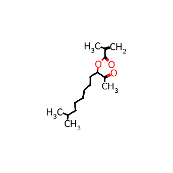 C=C(C)C(=O)OC(CCCCCCC(C)C)C(C)=O